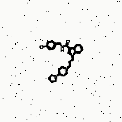 O=C(NCc1ccc(Cl)cc1)c1cn(CCCN2CCC(N3CCCC3)CC2)c2ccccc12